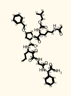 CCCC(NC(=O)[C@@H]1C[C@@H](OCc2ccccc2)CN1C(=O)C(CCCNC(C)=O)NC(=O)OCC(C)C)C(=O)C(=O)NCC(=O)N[C@H](C(N)=O)c1ccccc1